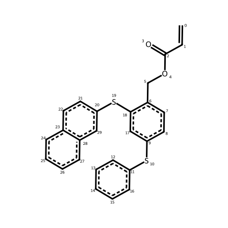 C=CC(=O)OCc1ccc(Sc2ccccc2)cc1Sc1ccc2ccccc2c1